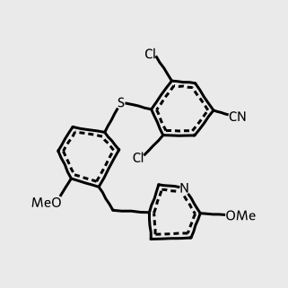 COc1ccc(Cc2cc(Sc3c(Cl)cc(C#N)cc3Cl)ccc2OC)cn1